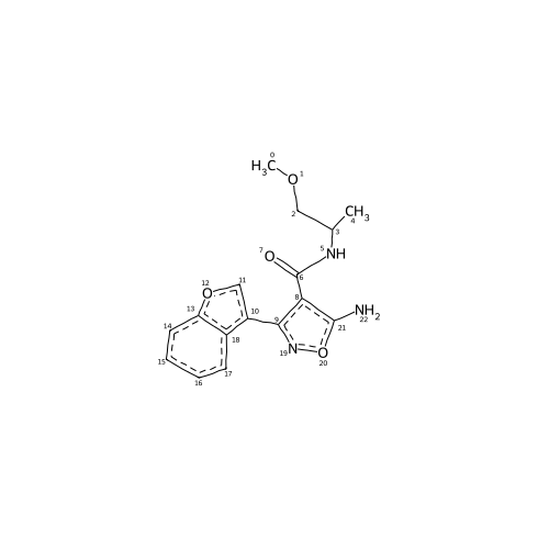 COCC(C)NC(=O)c1c(-c2coc3ccccc23)noc1N